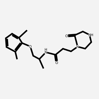 Cc1cccc(C)c1OCC(C)NC(=O)CCN1CCNCC1=O